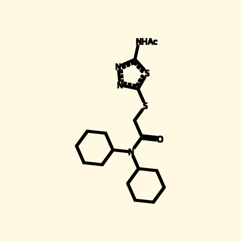 CC(=O)Nc1nnc(SCC(=O)N(C2CCCCC2)C2CCCCC2)s1